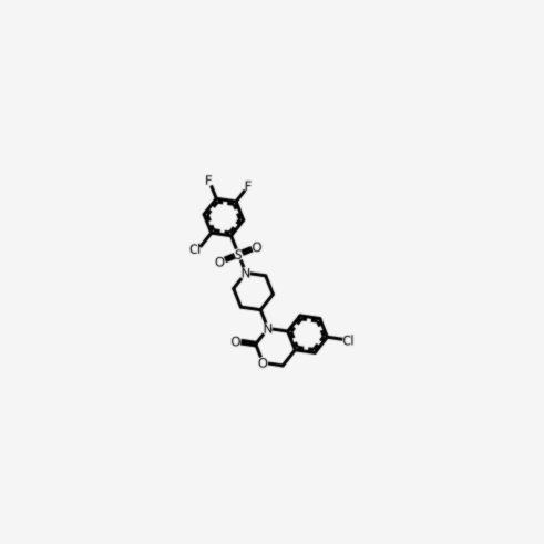 O=C1OCc2cc(Cl)ccc2N1C1CCN(S(=O)(=O)c2cc(F)c(F)cc2Cl)CC1